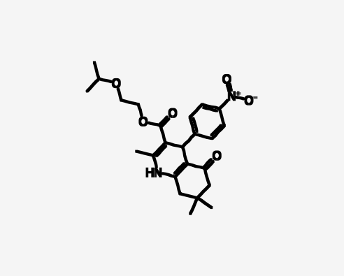 CC1=C(C(=O)OCCOC(C)C)C(c2ccc([N+](=O)[O-])cc2)C2=C(CC(C)(C)CC2=O)N1